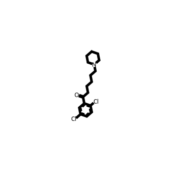 O=C(CCCCCN1CC[CH]CC1)c1cc(Cl)ccc1Cl